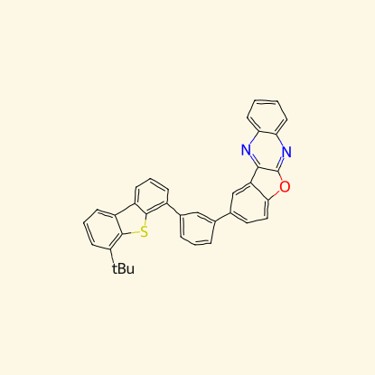 CC(C)(C)c1cccc2c1sc1c(-c3cccc(-c4ccc5oc6nc7ccccc7nc6c5c4)c3)cccc12